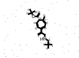 C=C(CNCC(C)(C)C)C1=CC=C(C)[C@@H](C(=C)OC(C)(C)C)C=C1